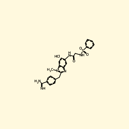 Cl.Cn1c(Cc2ccc(C(=N)N)cc2)nc2cc(NC(=O)CNS(=O)(=O)c3ccccc3)ccc21